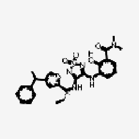 CC[C@@H](NC1=NS(=O)(=O)N=C1Nc1cccc(C(=O)N(C)C)c1O)c1cc(C(C)c2ccccc2)cs1